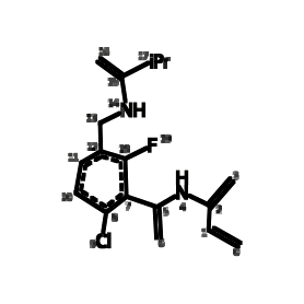 C=CC(=C)NC(=C)c1c(Cl)ccc(CNC(=C)C(C)C)c1F